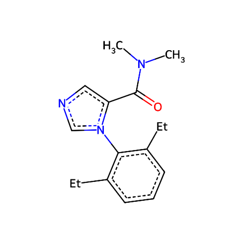 CCc1cccc(CC)c1-n1cncc1C(=O)N(C)C